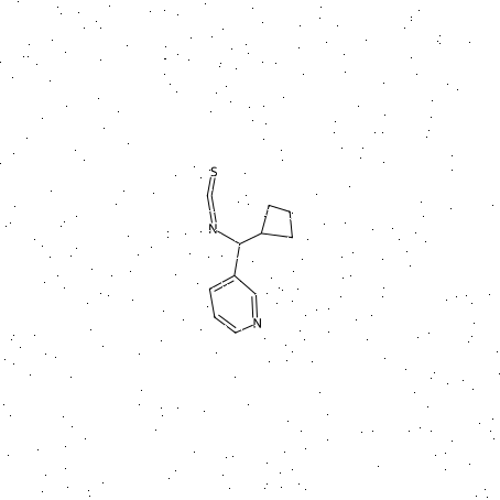 S=C=NC(c1cccnc1)C1CCC1